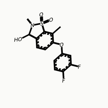 Cc1c(Oc2ccc(F)c(F)c2)ccc2c1S(=O)(=O)N(C)C2O